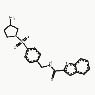 NC1CCN(S(=O)(=O)c2ccc(CNC(=O)c3cc4ccncc4o3)cc2)C1